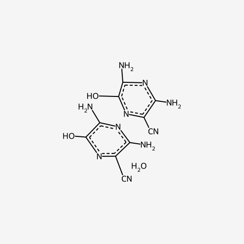 N#Cc1nc(O)c(N)nc1N.N#Cc1nc(O)c(N)nc1N.O